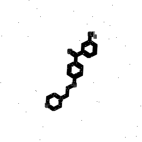 O=C(c1ccc(OCCN2CCOCC2)cc1)c1cccc(C(F)(F)F)c1